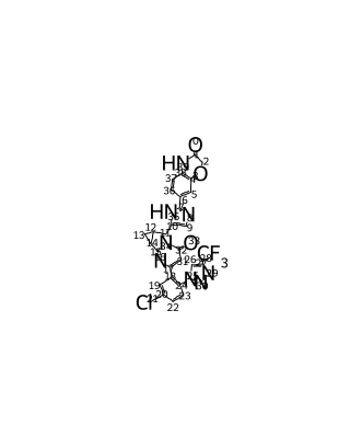 O=C1COc2cc(-c3ncc(C4C5CC5c5nc(-c6cc(Cl)ccc6-n6cc(C(F)(F)F)nn6)cc(=O)n54)[nH]3)ccc2N1